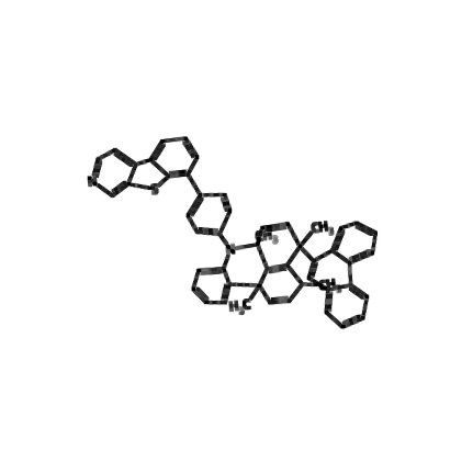 CC1C=CC2(C)C3=C1C(C)(c1cc4ccccc4c4ccccc14)C=CC3(C)N(c1ccc(-c3cccc4c3sc3cnccc34)cc1)c1ccccc12